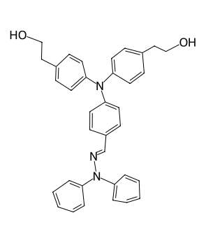 OCCc1ccc(N(c2ccc(C=NN(c3ccccc3)c3ccccc3)cc2)c2ccc(CCO)cc2)cc1